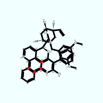 C=C[C@H]1C[N+]2(Cc3cc(OC)cc(OC)c3)CC[C@H]1C[C@@H]2[C@@H](Oc1nc(-c2ccccc2)nc(Cl)c1-c1ccccc1)c1ccnc2ccccc12